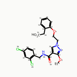 CCOc1nn(CCOc2ccccc2CC(=O)O)cc1C(=O)NCc1ccc(Cl)cc1Cl